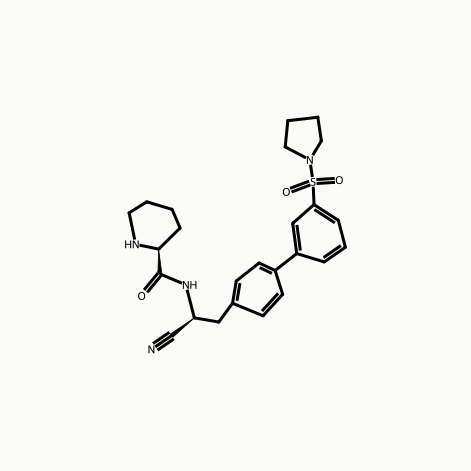 N#C[C@H](Cc1ccc(-c2cccc(S(=O)(=O)N3CCCC3)c2)cc1)NC(=O)[C@@H]1CCCCN1